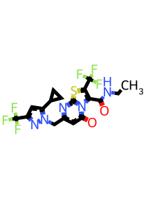 CCNC(=O)c1c(C(F)(F)F)sc2nc(Cn3nc(C(F)(F)F)cc3C3CC3)cc(=O)n12